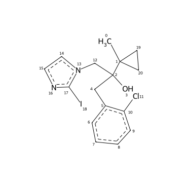 CC1(C(O)(Cc2ccccc2Cl)Cn2ccnc2I)CC1